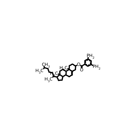 CC(C)CCCC(C)C1CCC2C3CC=C4CC(OC(=O)c5cc(P)cc(P)c5)CCC4(C)C3CCC12C